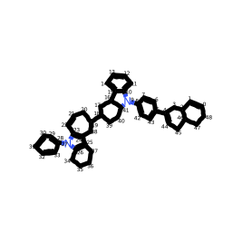 C1=CC2CC(c3ccc(N4c5ccccc5C5CC(C6CC=Cc7c(c8c(n7-c7ccccc7)CCCC8)C6)CCC54)cc3)=CCC2CC1